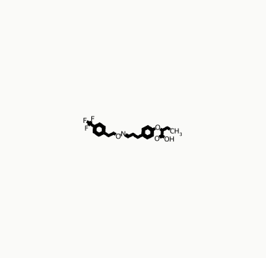 CCC(Oc1ccc(CCC=NOCCc2ccc(C(F)(F)F)cc2)cc1)C(=O)O